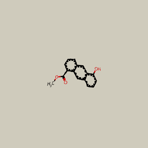 COC(=O)c1cccc2cc3c(O)cccc3cc12